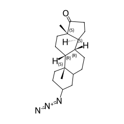 C[C@]12CCC(N=[N+]=[N-])CC1CC[C@@H]1[C@H]2CC[C@]2(C)C(=O)CC[C@@H]12